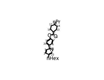 CCCCCCc1ccc(-c2ccc(OC(=O)C3CCC(CCC)CC3)cc2)nc1